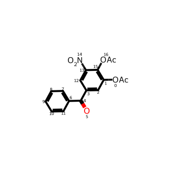 CC(=O)Oc1cc(C(=O)c2ccccc2)cc([N+](=O)[O-])c1OC(C)=O